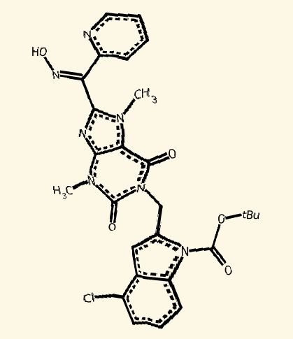 Cn1c(C(=NO)c2ccccn2)nc2c1c(=O)n(Cc1cc3c(Cl)cccc3n1C(=O)OC(C)(C)C)c(=O)n2C